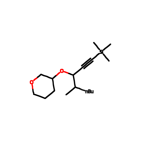 CCCCC(C)C(C#C[Si](C)(C)C)OC1CCCOC1